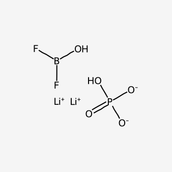 O=P([O-])([O-])O.OB(F)F.[Li+].[Li+]